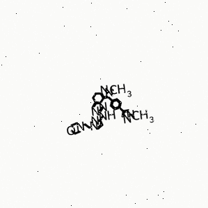 Cn1cc(-c2ccc(-c3c4c(nn3C)CCc3cnc(Nc5ccn(CCN6CCOCC6)n5)nc3-4)cc2)cn1